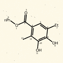 CCCOC(=O)c1cc(CC)c(O)c(O)c1C